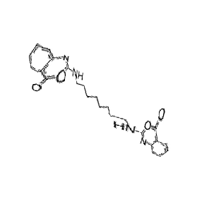 O=c1oc(NCCCCCCCCNc2nc3ccccc3c(=O)o2)nc2ccccc12